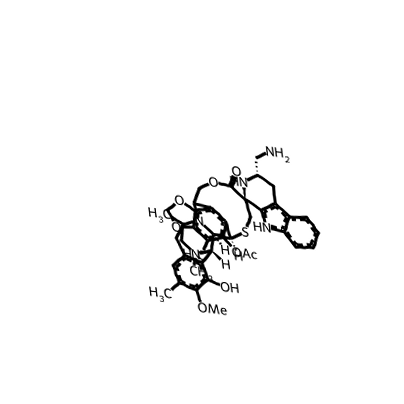 COc1c(C)cc2c(c1O)[C@H]1[C@@H]3[C@@H]4SC[C@]5(N[C@H](CN)Cc6c5[nH]c5ccccc65)C(=O)OCC(c5c6c(c(C)c(OC(C)=O)c54)OCO6)N3C(C)(C2)CN1C